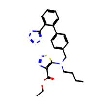 CCCCN(Cc1ccc(-c2ccccc2-c2nnn[nH]2)cc1)c1snnc1C(=O)OCC